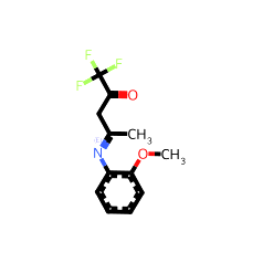 COc1ccccc1/N=C(\C)CC(=O)C(F)(F)F